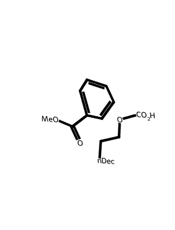 CCCCCCCCCCCCOC(=O)O.COC(=O)c1ccccc1